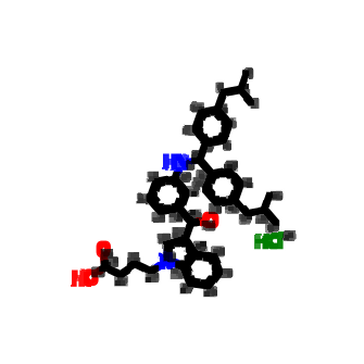 CC(C)Cc1ccc(C(Nc2cccc(C(=O)c3cn(CCCC(=O)O)c4ccccc34)c2)c2ccc(CC(C)C)cc2)cc1.Cl